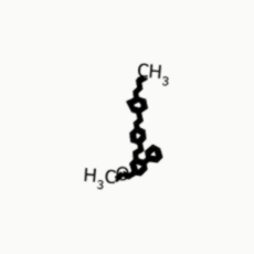 CC=CCCc1ccc(CCc2ccc(CCc3cc(COCC)ccc3-c3ccccc3)cc2)cc1